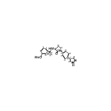 COc1cccc([C@@H](C)NC2CCN(c3ccc(-c4cn[nH]c4)cc3)C2=O)c1